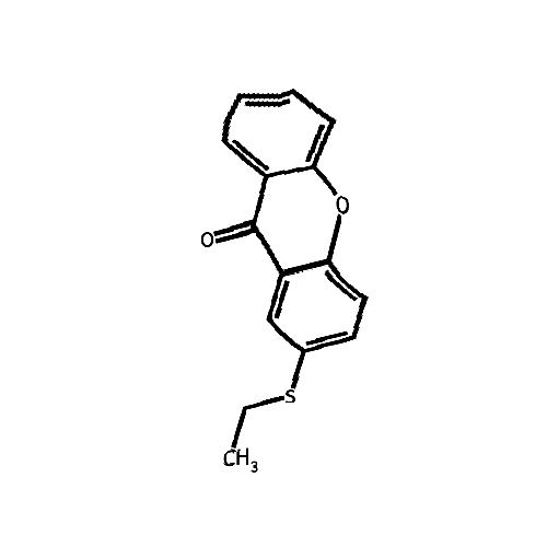 CCSc1ccc2oc3ccccc3c(=O)c2c1